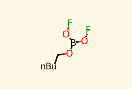 CCCCCOB(OF)OF